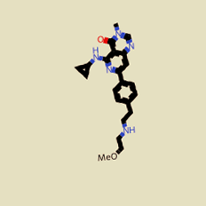 COCCNCCc1ccc(-c2cc3ncn(C)c(=O)c3c(NC3CC3)n2)cc1